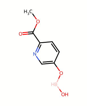 COC(=O)c1ccc(OBO)cn1